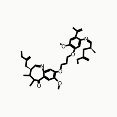 C=C(CC)C[C@H](C)/C=N\c1cc(OCCCOc2cc3c(cc2OC)C(=O)C(C)C(C)[C@@H](CC(=C)CC)/C=N\3)c(OC)cc1C(=C)C